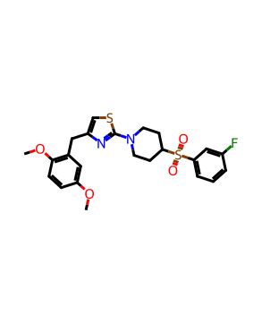 COc1ccc(OC)c(Cc2csc(N3CCC(S(=O)(=O)c4cccc(F)c4)CC3)n2)c1